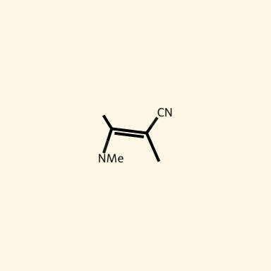 CN/C(C)=C(\C)C#N